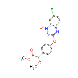 COC(=O)C(OC)c1ccc(Oc2nc3ccc(F)cc3[n+]([O-])n2)cc1